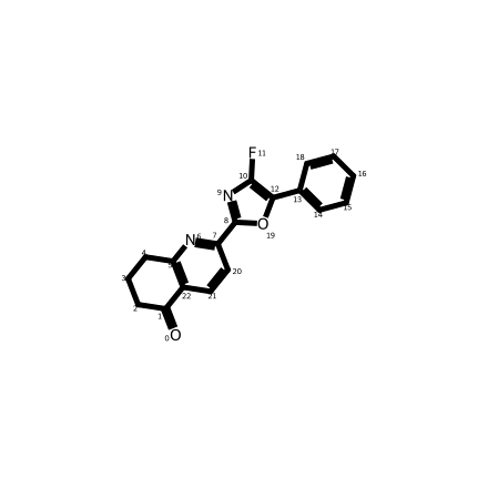 O=C1CCCc2nc(-c3nc(F)c(-c4ccccc4)o3)ccc21